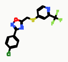 FC(F)(F)c1cc(SCc2nc(-c3ccc(Cl)cc3)no2)ccn1